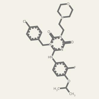 CC(C)Oc1ccc(Nc2nc(=O)n(CCN3CCOCC3)c(=O)n2Cc2ccc(Cl)cc2)cc1F